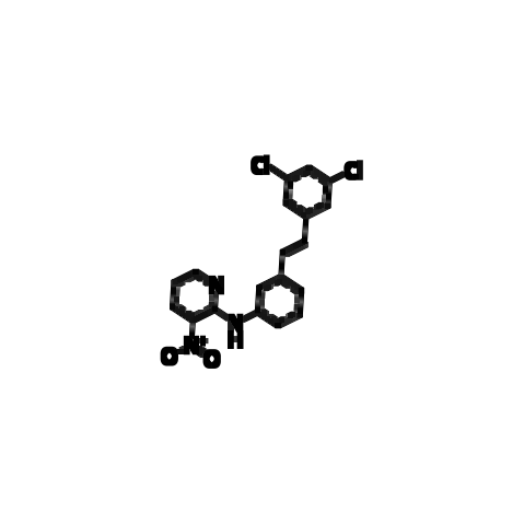 O=[N+]([O-])c1cccnc1Nc1cccc(C=Cc2cc(Cl)cc(Cl)c2)c1